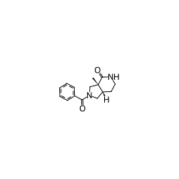 C[C@]12CN(C(=O)c3ccccc3)C[C@H]1CCNC2=O